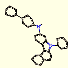 CN(c1ccc(-c2ccccc2)cc1)c1ccc2c3c4ccccc4ccc3n(-c3ccccc3)c2c1